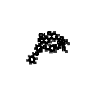 Cn1nc(-c2ccc(OCc3ccccc3)nc2OCc2ccccc2)c2ccc(C3CN(C(=O)OC(C)(C)C)CCC3=O)cc21